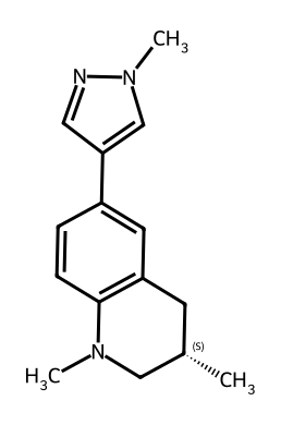 C[C@H]1Cc2cc(-c3cnn(C)c3)ccc2N(C)C1